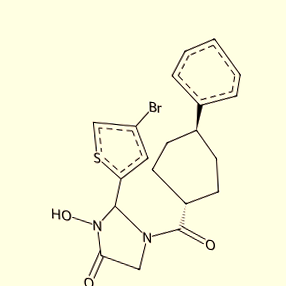 O=C1CN(C(=O)[C@H]2CC[C@H](c3ccccc3)CC2)C(c2cc(Br)cs2)N1O